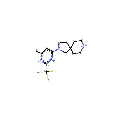 Cc1cc(N2CCC3(CCNCC3)C2)nc(C(F)(F)F)n1